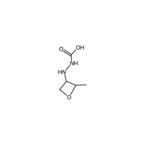 CC1OCC1NNC(=O)O